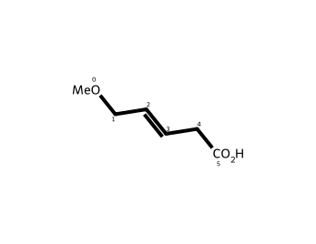 COC/C=C/CC(=O)O